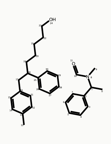 CC(c1ccccc1)N(C)C=O.Cc1ccc(CC(CCCCCO)c2ccccc2)cc1